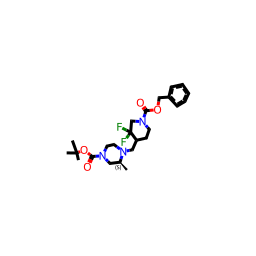 C[C@H]1CN(C(=O)OC(C)(C)C)CCN1CC1CCN(C(=O)OCc2ccccc2)CC1(F)F